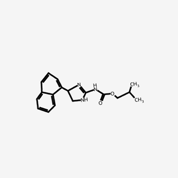 CC(C)COC(=O)NC1=NC(c2cccc3ccccc23)CN1